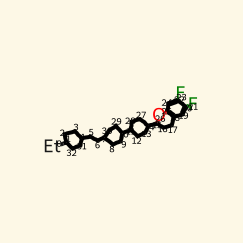 CCC1CCC(CCC2CCC(C3CCC(C4CCc5cc(F)c(F)cc5O4)CC3)CC2)CC1